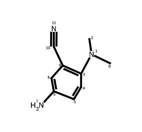 CN(C)c1ccc(N)cc1C#N